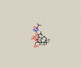 CC1=C[C@]23C(O)[C@@H](C=C(CO)[C@@H](O)[C@]2(O)[C@H]1Oc1noc(C(C)C)n1)[C@H]1[C@@H](C[C@H]3C)C1(C)C